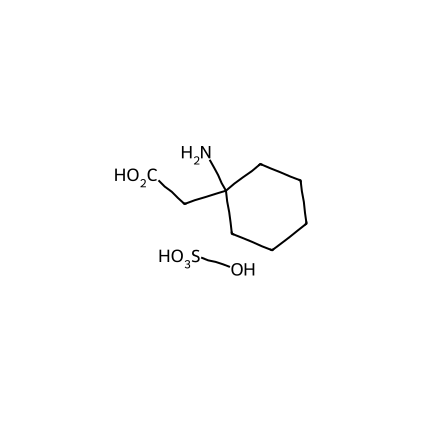 NC1(CC(=O)O)CCCCC1.O=S(=O)(O)O